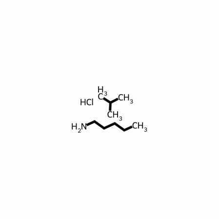 CC(C)C.CCCCCN.Cl